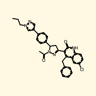 CCCn1cc(-c2ccc(C3CC(c4c(Cc5ccccc5)c5cc(Cl)ccc5[nH]c4=O)=NN3C(C)=O)cc2)cn1